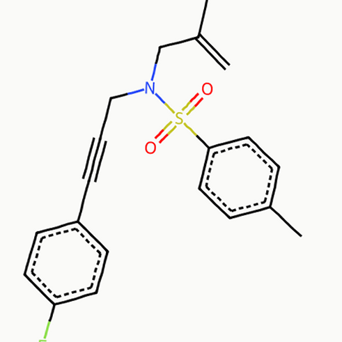 C=C(C)CN(CC#Cc1ccc(F)cc1)S(=O)(=O)c1ccc(C)cc1